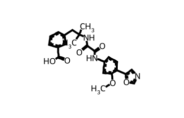 COc1cc(NC(=O)C(=O)NC(C)(C)Cc2cccc(C(=O)O)c2)ccc1-c1cnco1